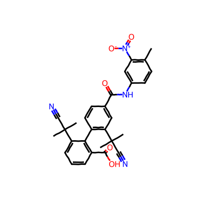 Cc1ccc(NC(=O)c2ccc(-c3c(C(=O)O)cccc3C(C)(C)C#N)c(C(C)(C)C#N)c2)cc1[N+](=O)[O-]